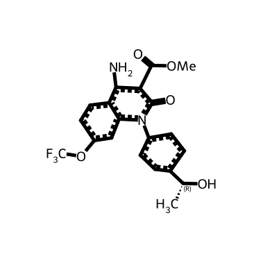 COC(=O)c1c(N)c2ccc(OC(F)(F)F)cc2n(-c2ccc([C@@H](C)O)cc2)c1=O